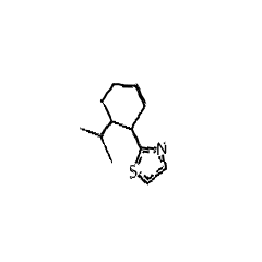 CC(C)C1CCCCC1c1nccs1